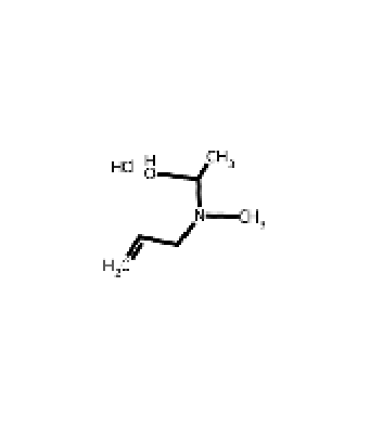 C=CCN(C)C(C)O.Cl